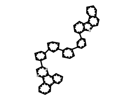 c1cc(-c2cccc(-c3cccc(-c4cccc5c4oc4ccc6ccccc6c45)c3)c2)cc(-c2cccc(-c3cnc4c5ccccc5c5ccccc5c4n3)c2)c1